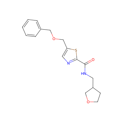 O=C(NCC1CCOC1)c1ncc(COCc2ccccc2)s1